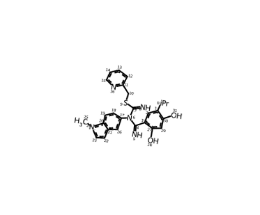 CC(C)c1cc(C(=N)N(C(=N)SCc2ccccn2)c2ccc3c(ccn3C)c2)c(O)cc1O